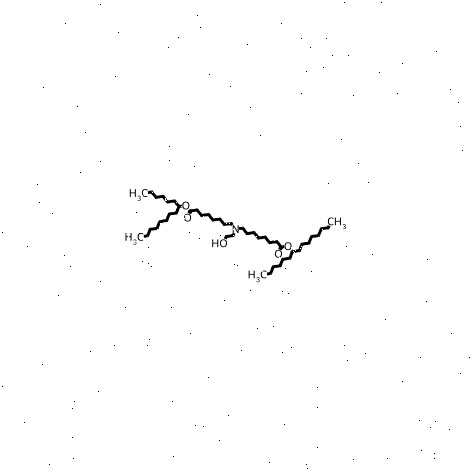 CCCCCCCCC(CCCCCC)OC(=O)CCCCCCCN(CCO)CCCCCCCC(=O)OC(CCCCCC)CCCCCCCC